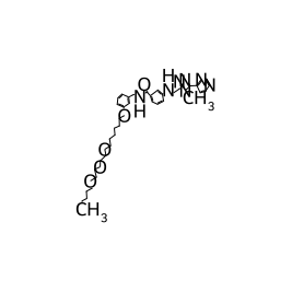 CCCCCOCCOCCOCCCCCCOc1cccc(CNC(=O)c2cccc(NCc3nnc(-c4ccncn4)n3C)c2)c1